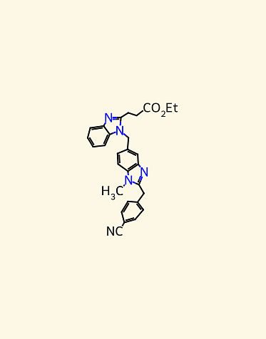 CCOC(=O)CCc1nc2ccccc2n1Cc1ccc2c(c1)nc(Cc1ccc(C#N)cc1)n2C